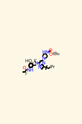 C=C(F)C(=O)Nc1cccc(CN(C(=O)O)c2cc(N3CCC(NC(=O)OC(C)(C)C)CC3)nc3c(C(C)(C)CC(C)C)cnn23)c1